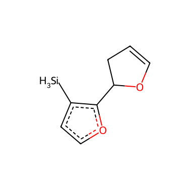 [SiH3]c1ccoc1C1CC=CO1